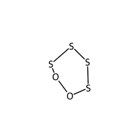 O1OSSSS1